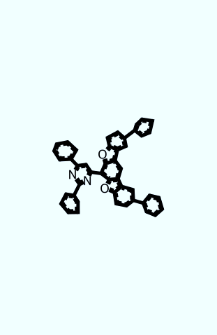 c1ccc(-c2ccc3oc4c(-c5cc(-c6ccccc6)nc(-c6ccccc6)n5)c5oc6ccc(-c7ccccc7)cc6c5cc4c3c2)cc1